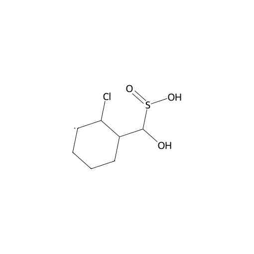 O=S(O)C(O)C1CCC[CH]C1Cl